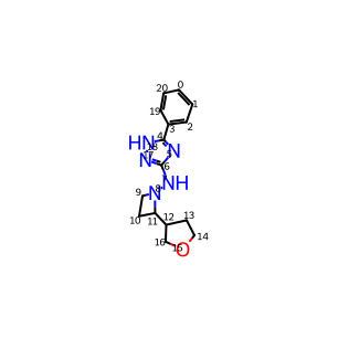 c1ccc(-c2nc(NN3CCC3C3CCOC3)n[nH]2)cc1